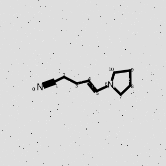 N#CCCC=CN1CCCC1